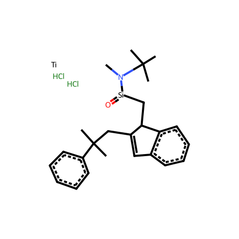 CN([Si](=O)CC1C(CC(C)(C)c2ccccc2)=Cc2ccccc21)C(C)(C)C.Cl.Cl.[Ti]